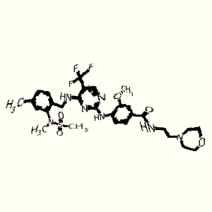 COc1cc(C(=O)NCCN2CCOCC2)ccc1Nc1ncc(C(F)(F)F)c(NCc2ccc(C)cc2N(C)S(C)(=O)=O)n1